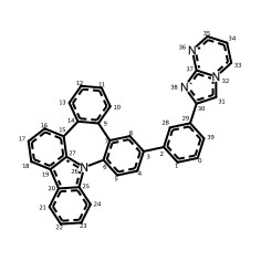 c1cc(-c2ccc3c(c2)-c2ccccc2-c2cccc4c5ccccc5n-3c24)cc(-c2cn3cccnc3n2)c1